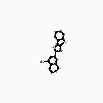 CC(C)(C)c1cc(-c2nc3sc4ccccc4c3s2)cc2ccccc12